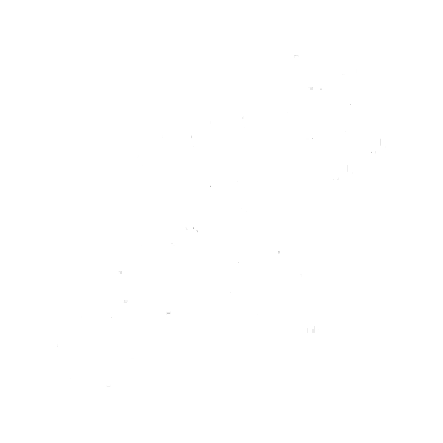 CCCCc1ccc2c3c(sc2c1)B1c2cc4c(cc2Oc2cc(C)cc(c21)N3c1ccc(-c2ccccc2)cc1)C(C)(C)CC4(C)C